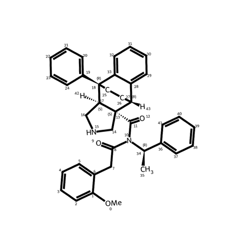 COc1ccccc1CC(=O)N(C(=O)[C@]12CNC[C@H]1[C@@]1(c3ccccc3)CC[C@@H]2c2ccccc21)[C@H](C)c1ccccc1